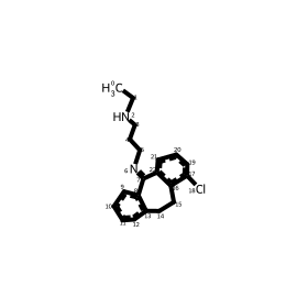 CCNCCCN=C1c2ccccc2CCc2c(Cl)cccc21